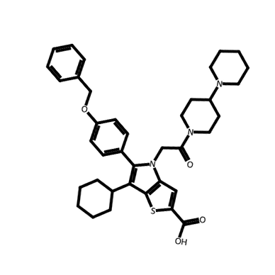 O=C(O)c1cc2c(s1)c(C1CCCCC1)c(-c1ccc(OCc3ccccc3)cc1)n2CC(=O)N1CCC(N2CCCCC2)CC1